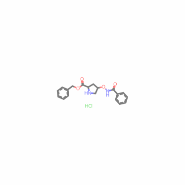 Cl.O=C(NOC1CNC(C(=O)OCc2ccccc2)C1)c1ccccc1